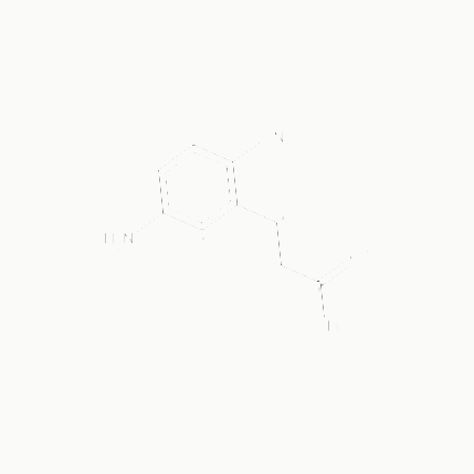 CC(C)C(=O)CCc1cc(N)ccc1C#N